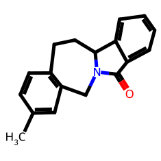 Cc1ccc2c(c1)CN1C(=O)c3ccccc3C1CC2